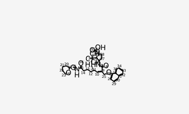 CC(C)(C)C1C(NC(=O)C(=CCCCCC(=O)NOC2CCCCO2)COc2cccc3ccccc23)CCN1C(=O)O